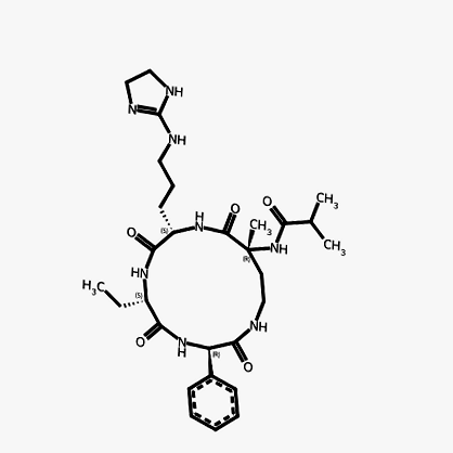 CC[C@@H]1NC(=O)[C@H](CCCNC2=NCCN2)NC(=O)[C@](C)(NC(=O)C(C)C)CCNC(=O)[C@@H](c2ccccc2)NC1=O